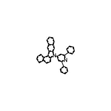 c1ccc(-c2cc(-n3c4cc5ccccc5cc4c4c5ccccc5ccc43)cc(-c3ccccc3)n2)cc1